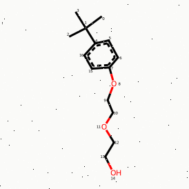 CC(C)(C)c1ccc(OCCOCCO)cc1